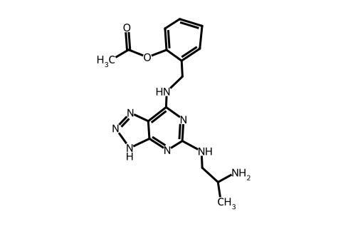 CC(=O)Oc1ccccc1CNc1nc(NCC(C)N)nc2[nH]nnc12